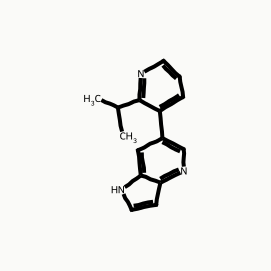 CC(C)c1ncccc1-c1cnc2cc[nH]c2c1